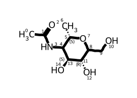 CC(=O)NC1[C@H](C)OC(CO)[C@H](O)[C@H]1O